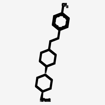 CCCCC[C@H]1CC[C@H](C2CCC(CCc3ccc(C(F)(F)F)cc3)CC2)CC1